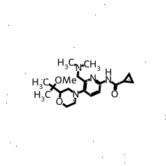 COC(C)(C)C1CN(c2ccc(NC(=O)C3CC3)nc2CN(C)C)CCO1